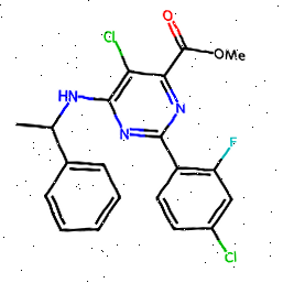 COC(=O)c1nc(-c2ccc(Cl)cc2F)nc(NC(C)c2ccccc2)c1Cl